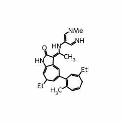 CCC1=CC(C2=CC(CC)C=C3NC(=O)/C(=C(/C)N/C(C=N)=C/NC)C3=C2)=C(C)C=CC1